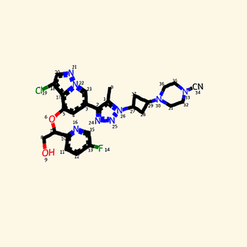 Cc1c(-c2cc(OC(CO)c3ccc(F)cn3)c3c(Cl)cnn3c2)nnn1C1CC(N2CCN(C#N)CC2)C1